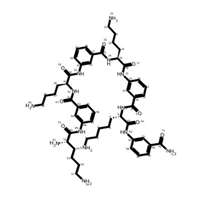 NCCCCC[C@H](NC(=O)c1cccc(NC(=O)[C@H](CCCCN)NC(=O)c2cccc(NC(=O)[C@H](CCCCN)NC(=O)c3cccc(NC(=O)[C@@H](N)CCCCN)c3)c2)c1)C(=O)Nc1cccc(C(N)=O)c1